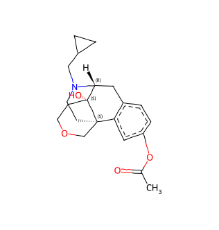 CC(=O)Oc1ccc2c(c1)[C@]13CCN(CC4CC4)[C@H](C2)[C@]1(O)CCOC3